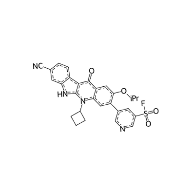 CC(C)Oc1cc2c(=O)c3c4ccc(C#N)cc4[nH]c3n(C3CCC3)c2cc1-c1cncc(S(=O)(=O)F)c1